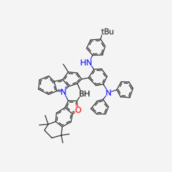 Cc1cc(-c2cc(N(c3ccccc3)c3ccccc3)ccc2Nc2ccc(C(C)(C)C)cc2)c2c3c1c1ccccc1n3-c1c(oc3cc4c(cc13)C(C)(C)CCC4(C)C)B2